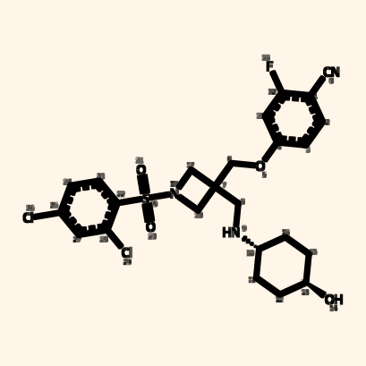 N#Cc1ccc(OCC2(CN[C@H]3CC[C@H](O)CC3)CN(S(=O)(=O)c3ccc(Cl)cc3Cl)C2)cc1F